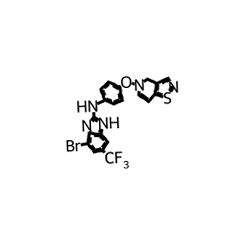 FC(F)(F)c1cc(Br)c2nc(Nc3ccc(ON4C=Cc5sncc5C4)cc3)[nH]c2c1